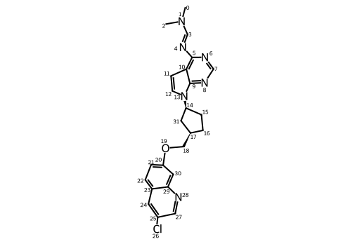 CN(C)/C=N/c1ncnc2c1ccn2[C@H]1CC[C@@H](COc2ccc3cc(Cl)cnc3c2)C1